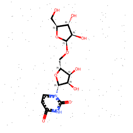 O=c1ccn([C@@H]2O[C@H](CO[C@H]3O[C@@H](CO)[C@H](O)[C@H]3O)[C@@H](O)[C@H]2O)c(=O)[nH]1